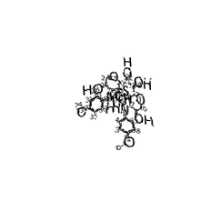 COc1ccc(N[C@H]2[C@@H](O)CO[C@H](CO)[C@]2(O)S[C@@]2(O)[C@@H](CO)OC[C@H](O)[C@@H]2Nc2ccc(OC)cc2)cc1